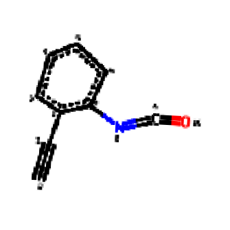 C#Cc1ccccc1N=C=O